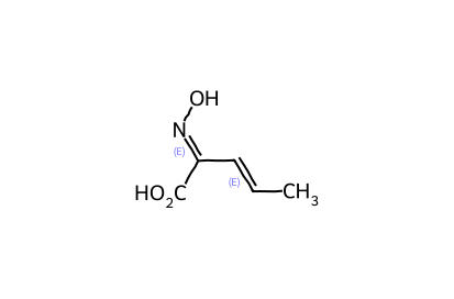 C/C=C/C(=N\O)C(=O)O